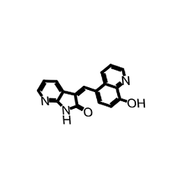 O=C1Nc2ncccc2C1=Cc1ccc(O)c2ncccc12